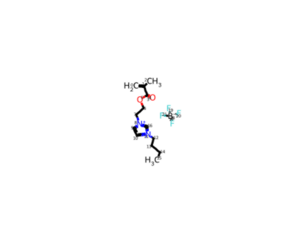 C=C(C)C(=O)OCC[n+]1ccn(CCCC)c1.F[B-](F)(F)F